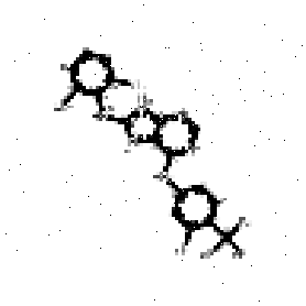 Fc1cc(Nc2ncnc3[nH]c(Nc4c(Cl)cccc4Cl)nc23)ccc1C(F)(F)F